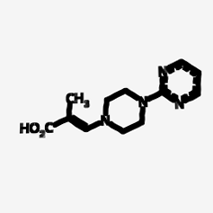 CC(=CN1CCN(c2ncccn2)CC1)C(=O)O